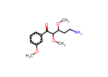 COc1cccc(C(=O)C(OC)C(CCN)OC)c1